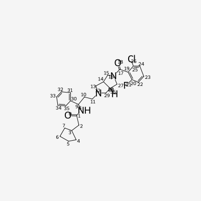 O=C(CC1CCCC1)NC(CCN1CC2CN(C(=O)c3c(F)cccc3Cl)C[C@@H]2C1)c1ccccc1